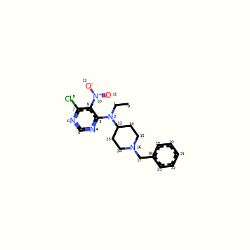 CCN(c1ncnc(Cl)c1[N+](=O)[O-])C1CCN(Cc2ccccc2)CC1